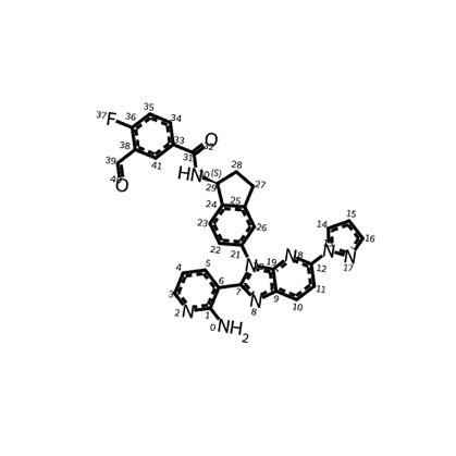 Nc1ncccc1-c1nc2ccc(-n3cccn3)nc2n1-c1ccc2c(c1)CC[C@@H]2NC(=O)c1ccc(F)c(C=O)c1